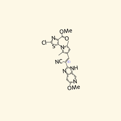 COC(=O)c1nc(Cl)sc1-n1c(C)cc(/C=C(\C#N)c2nc3cc(OC)ncc3[nH]2)c1C